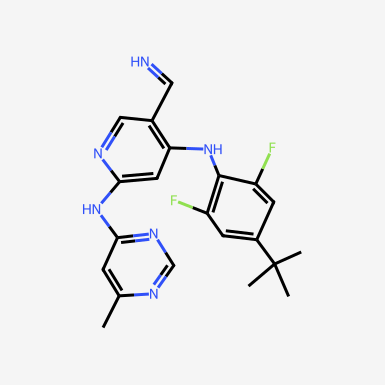 Cc1cc(Nc2cc(Nc3c(F)cc(C(C)(C)C)cc3F)c(C=N)cn2)ncn1